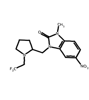 Cn1c(=O)n(CC2CCCN2CC(F)(F)F)c2cc([N+](=O)[O-])ccc21